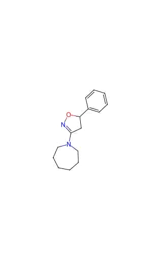 c1ccc(C2CC(N3CCCCCC3)=NO2)cc1